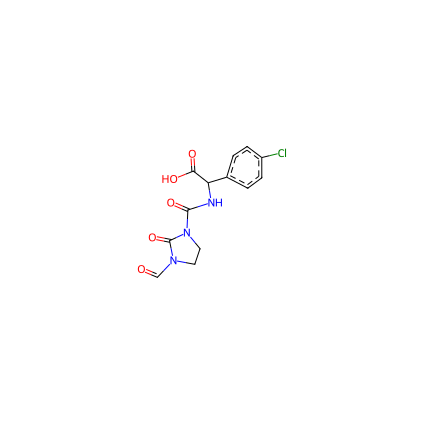 O=CN1CCN(C(=O)NC(C(=O)O)c2ccc(Cl)cc2)C1=O